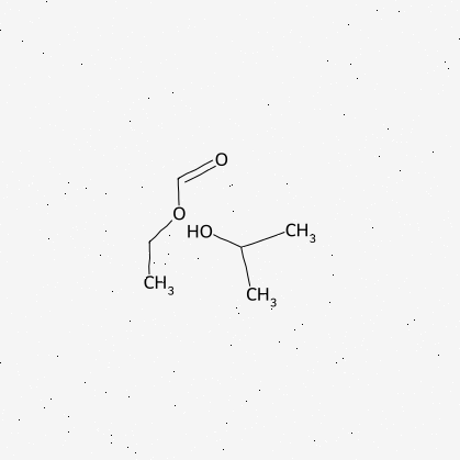 CC(C)O.CCOC=O